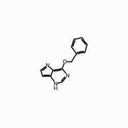 c1ccc(COc2nc[nH]c3ccnc2-3)cc1